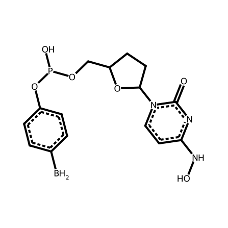 Bc1ccc(OP(O)OCC2CCC(n3ccc(NO)nc3=O)O2)cc1